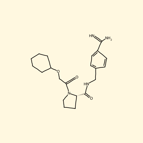 N=C(N)c1ccc(CNC(=O)[C@@H]2CCCN2C(=O)COC2CCCCC2)cc1